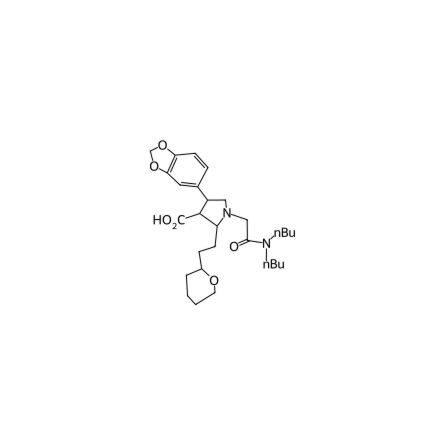 CCCCN(CCCC)C(=O)CN1CC(c2ccc3c(c2)OCO3)C(C(=O)O)C1CCC1CCCCO1